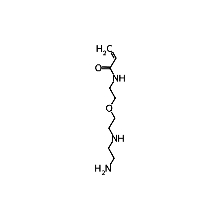 C=CC(=O)NCCOCCNCCN